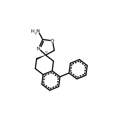 NC1=N[C@]2(CCc3cccc(-c4ccccc4)c3C2)CO1